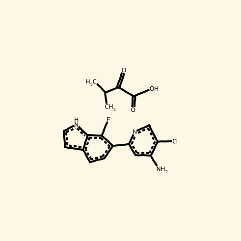 CC(C)C(=O)C(=O)O.Nc1cc(-c2ccc3cc[nH]c3c2F)ncc1Cl